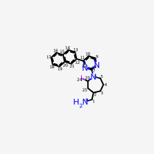 NCC1CCCN(c2nccc(-c3ccc4ccccc4c3)n2)C(I)C1